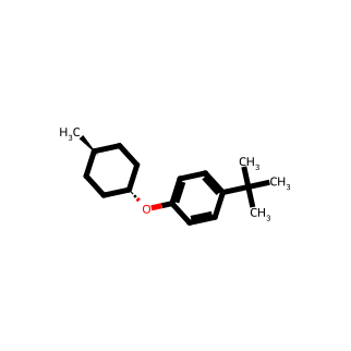 CC(C)(C)c1ccc(O[C@H]2CC[C@H](C)CC2)cc1